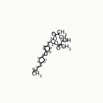 C=C(C)C(=O)OCC(COC(=O)C(=C)CO)Cc1ccc(OCC2CCC(CCCCC)CC2)cc1